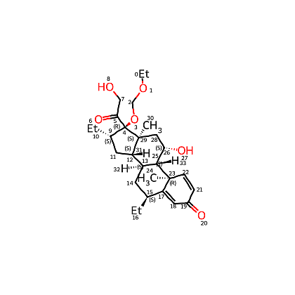 CCOCO[C@]1(C(=O)CO)[C@@H](CC)C[C@H]2[C@@H]3C[C@H](CC)C4=CC(=O)C=C[C@]4(C)[C@H]3[C@@H](O)C[C@@]21C